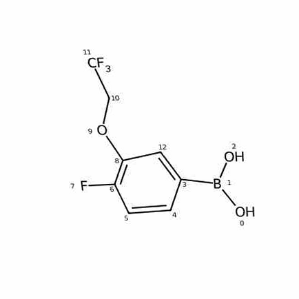 OB(O)c1ccc(F)c(OCC(F)(F)F)c1